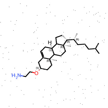 CC(C)CCC[C@@H](C)[C@H]1CCC2[C@@H]3CC=C4C[C@@H](OCCN)CC[C@]4(C)C3CC[C@@]21C